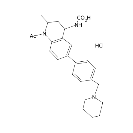 CC(=O)N1c2ccc(-c3ccc(CN4CCCCC4)cc3)cc2C(NC(=O)O)CC1C.Cl